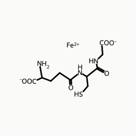 NC(CCC(=O)NC(CS)C(=O)NCC(=O)[O-])C(=O)[O-].[Fe+2]